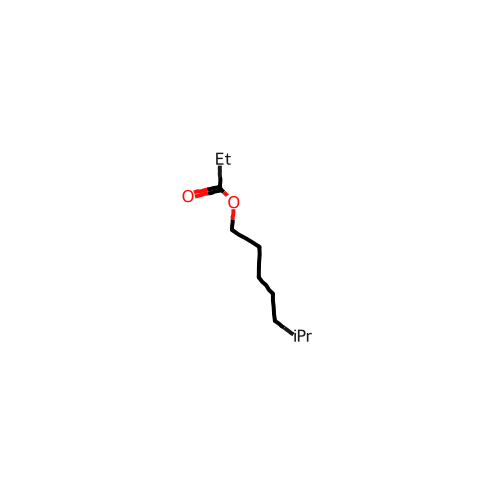 [CH2]CC(=O)OCCCCCC(C)C